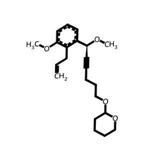 C=CCc1c(OC)cccc1[C@H](C#CCCCOC1CCCCO1)OC